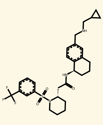 O=C(C[C@@H]1CCCCN1S(=O)(=O)c1cccc(C(F)(F)F)c1)N[C@@H]1CCCc2cc(CNCC3CC3)ccc21